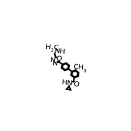 CNCc1nnc(-c2ccc(-c3cc(C(=O)NC4CC4)ccc3C)cc2)o1